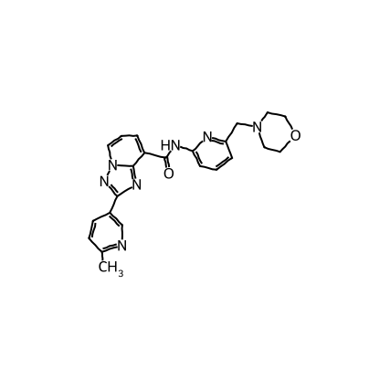 Cc1ccc(-c2nc3c(C(=O)Nc4cccc(CN5CCOCC5)n4)cccn3n2)cn1